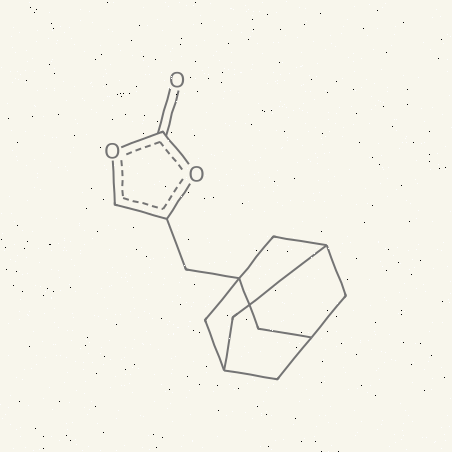 O=c1occ(CC23CC4CC(CC(C4)C2)C3)o1